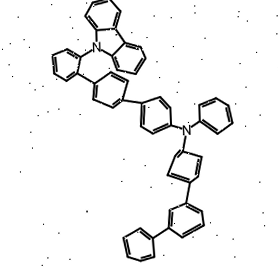 c1ccc(-c2cccc(-c3ccc(N(c4ccccc4)c4ccc(-c5ccc(-c6ccccc6-n6c7ccccc7c7ccccc76)cc5)cc4)cc3)c2)cc1